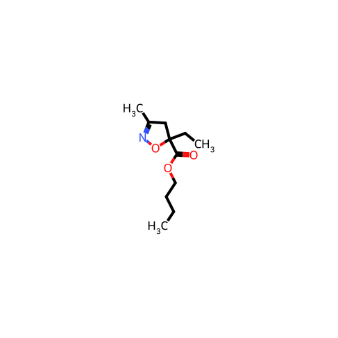 CCCCOC(=O)C1(CC)CC(C)=NO1